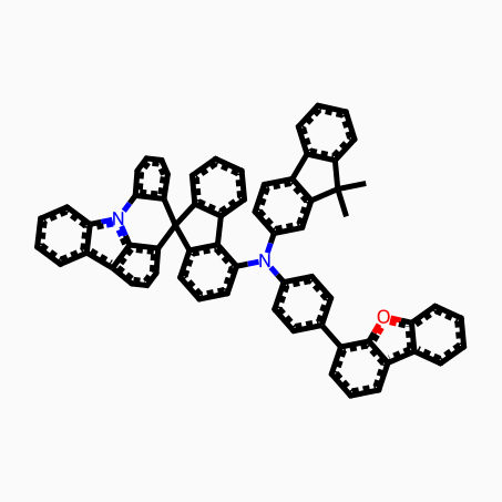 CC1(C)c2ccccc2-c2ccc(N(c3ccc(-c4cccc5c4oc4ccccc45)cc3)c3cccc4c3-c3ccccc3C43c4ccccc4-n4c5ccccc5c5cccc3c54)cc21